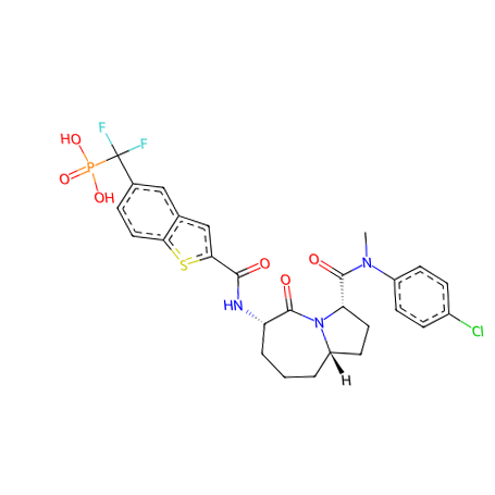 CN(C(=O)[C@@H]1CC[C@@H]2CCC[C@H](NC(=O)c3cc4cc(C(F)(F)P(=O)(O)O)ccc4s3)C(=O)N21)c1ccc(Cl)cc1